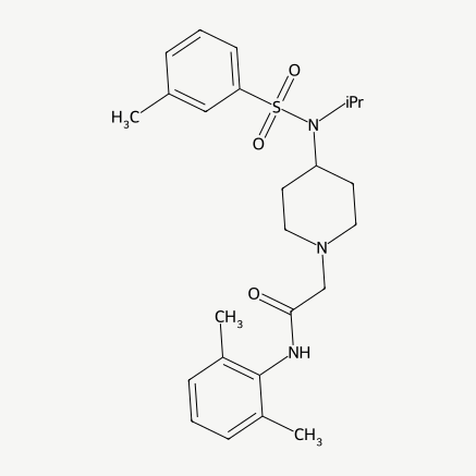 Cc1cccc(S(=O)(=O)N(C(C)C)C2CCN(CC(=O)Nc3c(C)cccc3C)CC2)c1